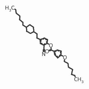 CCCCCCCOc1ccc(C(=O)Oc2ccc(CCC3CCC(CCCCCCC)CC3)cc2C#N)cc1